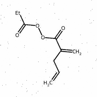 C=CCC(=C)C(=O)OOC(=O)CC